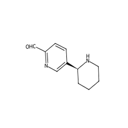 O=Cc1ccc([C@@H]2CCCCN2)cn1